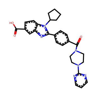 O=C(O)c1ccc2c(c1)nc(-c1ccc(C(=O)N3CCN(c4ncccn4)CC3)cc1)n2C1CCCC1